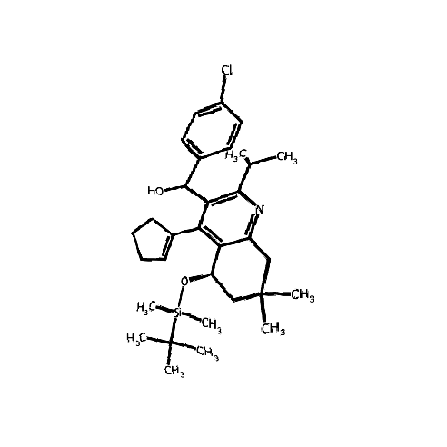 CC(C)c1nc2c(c(C3=CCCC3)c1C(O)c1ccc(Cl)cc1)[C@H](O[Si](C)(C)C(C)(C)C)CC(C)(C)C2